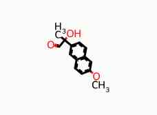 COc1ccc2cc(C(C)(O)C=O)ccc2c1